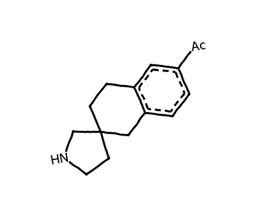 CC(=O)c1ccc2c(c1)CCC1(CCNC1)C2